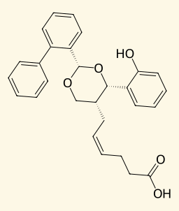 O=C(O)CC/C=C\C[C@@H]1CO[C@H](c2ccccc2-c2ccccc2)O[C@@H]1c1ccccc1O